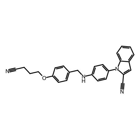 N#CCCCOc1ccc(CNc2ccc(-n3c(C#N)cc4ccccc43)cc2)cc1